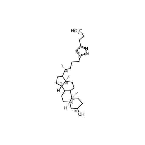 C[C@H](CCCn1cc(CCC(=O)O)nn1)C1CC[C@H]2C3CC[C@@H]4C[C@H](O)CC[C@]4(C)C3CC[C@]12C